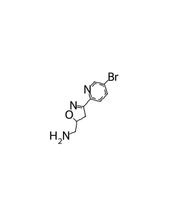 NCC1CC(c2ccc(Br)cn2)=NO1